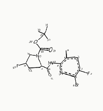 Cc1cc(F)c(Br)nc1NC(=O)C1CC(F)CN1C(=O)OC(C)(C)C